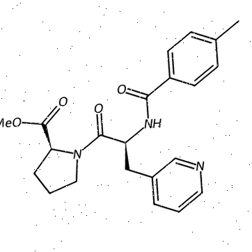 COC(=O)[C@@H]1CCCN1C(=O)[C@H](Cc1cccnc1)NC(=O)c1ccc(C)cc1